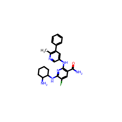 Cc1ncc(Nc2nc(NC3CCCCC3N)c(F)cc2C(N)=O)cc1-c1ccccc1